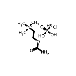 C[N+](C)(C)CCOC(N)=O.O=P(O)(O)S.[Cl-]